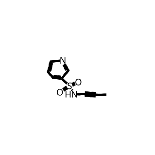 CC#CNS(=O)(=O)c1cccnc1